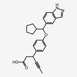 CC#CC(CC(=O)O)c1ccc(OC(c2ccc3[nH]ncc3c2)C2CCCC2)cc1